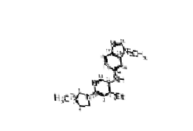 CCc1cc(N2CC[C@H](C)C2)ncc1Nc1cc2c(cn1)ncn2C